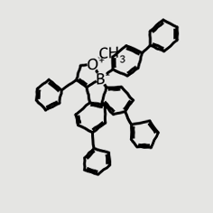 C[O+]1CC(c2ccccc2)=C(c2ccc(-c3ccccc3)cc2)[B-]1(c1ccc(-c2ccccc2)cc1)c1ccc(-c2ccccc2)cc1